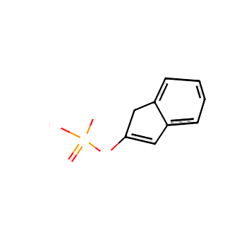 O=P(O)(O)OC1=Cc2ccccc2C1